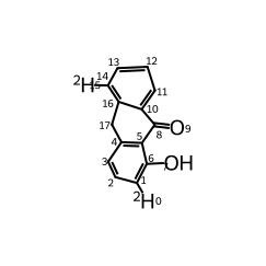 [2H]c1ccc2c(c1O)C(=O)c1cccc([2H])c1C2